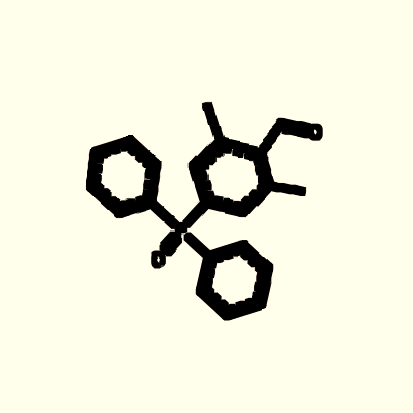 Cc1cc(P(=O)(c2ccccc2)c2ccccc2)cc(C)c1C=O